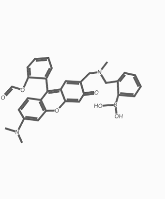 CN(Cc1ccccc1B(O)O)Cc1cc2c(-c3ccccc3OC=O)c3ccc(N(C)C)cc3oc-2cc1=O